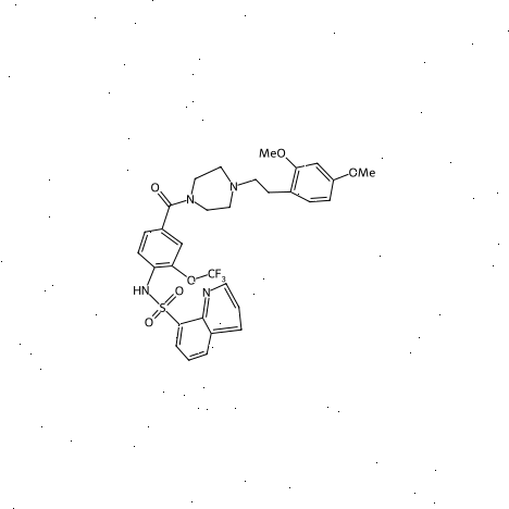 COc1ccc(CCN2CCN(C(=O)c3ccc(NS(=O)(=O)c4cccc5cccnc45)c(OC(F)(F)F)c3)CC2)c(OC)c1